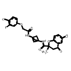 CC1(C(=O)NC23CC(NC(=O)COc4ccc(Cl)c(F)c4)(C2)C3)CC(=O)c2cc(Cl)ccc2O1